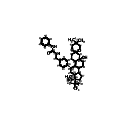 CC1(C)COC2(CCC3=C4C(CCC3(O)C2)C2CC[C@@](O)(C(F)(F)C(F)(F)F)[C@@]2(C)C[C@@H]4c2ccc(CNC(=O)Nc3ccccc3)cc2)OC1